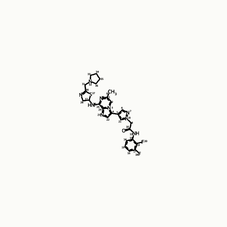 Cc1cn2c(-c3cnn(CC(=O)Nc4cccc(F)c4F)c3)cnc2c(NC2CN=C(CN3CCCC3)S2)n1